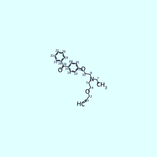 C#CCOCCN(CC)CCOc1ccc(C(=O)c2ccccc2)cc1